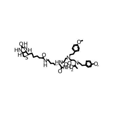 COc1ccc(CCN(CC(=O)N(CCc2ccc(OC)cc2)CC(=O)N[C@@H](CCCCNC(=O)CCCCC2SC[C@H]3NC(=O)N[C@@H]23)C(N)=O)C(C)=O)cc1